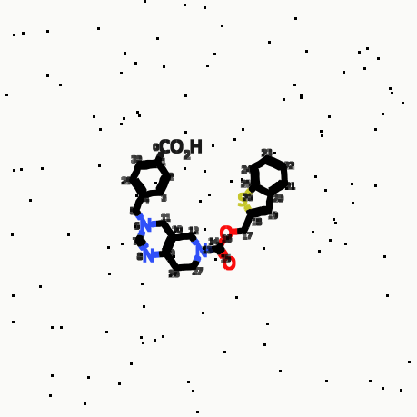 O=C(O)c1ccc(CN2C=NC3=C(C2)CN(C(=O)OCc2cc4ccccc4s2)CC3)cc1